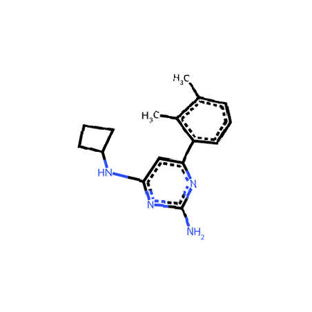 Cc1cccc(-c2cc(NC3CCC3)nc(N)n2)c1C